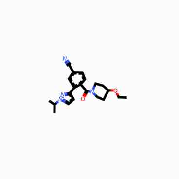 CCOC1CCN(C(=O)c2ccc(C#N)cc2-c2ccn(C(C)C)n2)CC1